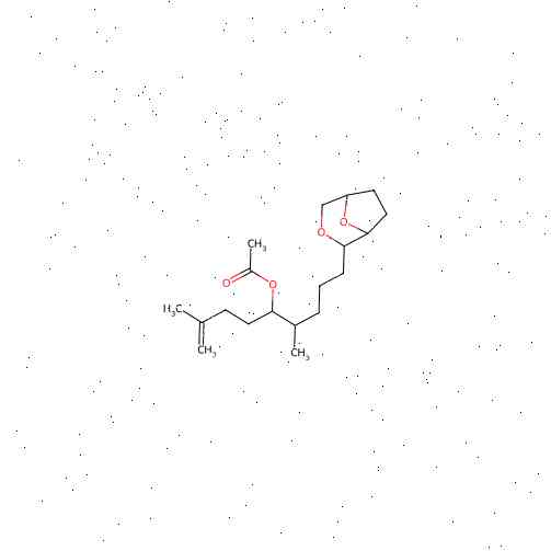 C=C(C)CCC(OC(C)=O)C(C)CCCC1OCC2CCC1O2